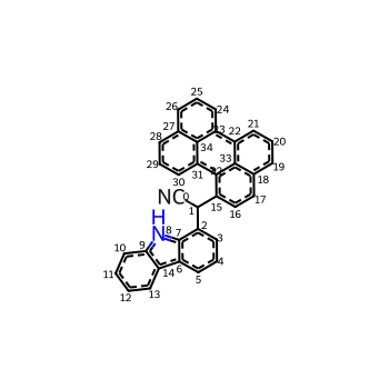 N#CC(c1cccc2c1[nH]c1ccccc12)c1ccc2cccc3c4cccc5cccc(c1c23)c54